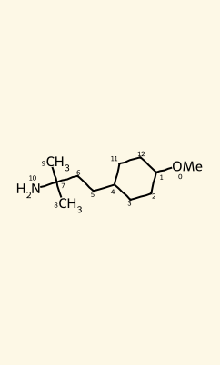 COC1CCC(CCC(C)(C)N)CC1